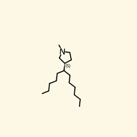 CCCCCCC(CCCCC)[C@@H]1CCN(C)C1